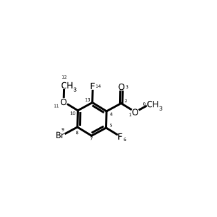 COC(=O)c1c(F)cc(Br)c(OC)c1F